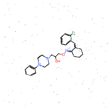 OC(CO/N=C1\CCCC\C1=C\c1ccccc1Cl)CN1CCN(c2ccccc2)CC1